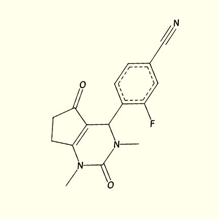 CN1C(=O)N(C)C(c2ccc(C#N)cc2F)C2=C1CCC2=O